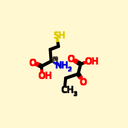 CCC(=O)C(=O)O.N[C@@H](CCS)C(=O)O